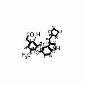 O=C(O)Cc1cc(Br)c(Oc2ccc3[nH]cc(CC4CCCC4)c3c2)c(C(F)(F)F)c1